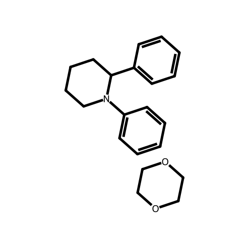 C1COCCO1.c1ccc(C2CCCCN2c2ccccc2)cc1